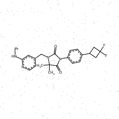 CC(C)Nc1cc(CN2C(=O)N(c3ccc(C4CC(F)(F)C4)cc3)C(=O)C2(C)C)ccn1